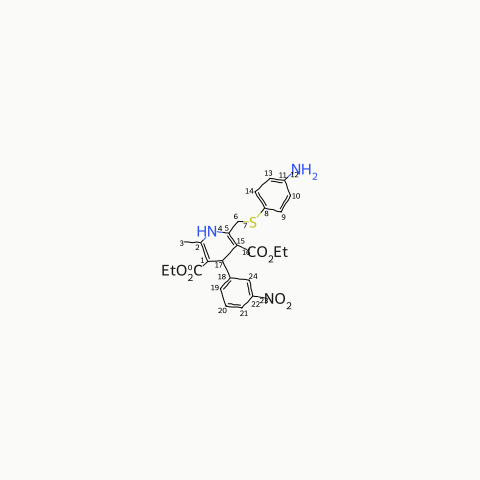 CCOC(=O)C1=C(C)NC(CSc2ccc(N)cc2)=C(C(=O)OCC)C1c1cccc([N+](=O)[O-])c1